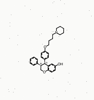 Oc1ccc2c(c1)[C@H](c1ccc(OCCCCN3CCCCC3)cc1)[C@H](c1ccccc1)CO2